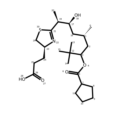 C[C@H](CC(OC(=O)C1CCCC1)C(C)(C)C)C[C@H](O)[C@H](C)C1=N[C@@H](CCC(=O)O)CS1